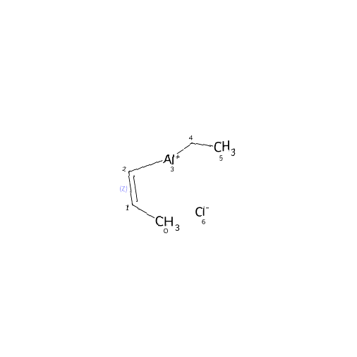 C/C=[CH]\[Al+][CH2]C.[Cl-]